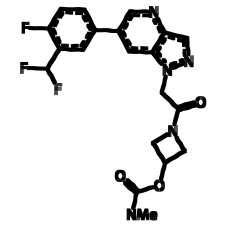 CNC(=O)OC1CN(C(=O)Cn2ncc3ncc(-c4ccc(F)c(C(F)F)c4)cc32)C1